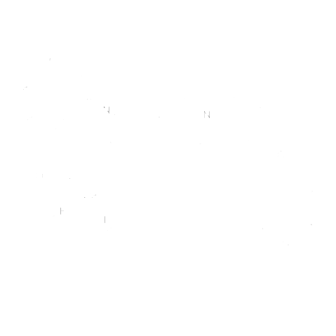 O=C(c1cn(CCCN2CCC(Oc3ccc(Cl)cc3)CC2)c2ccccc12)C(F)(F)F